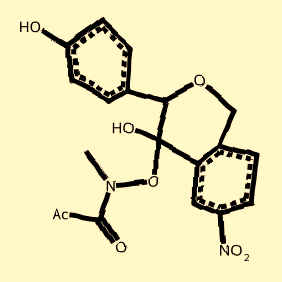 CC(=O)C(=O)N(C)OC1(O)c2cc([N+](=O)[O-])ccc2COC1c1ccc(O)cc1